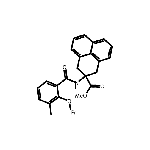 COC(=O)C1(NC(=O)c2cccc(C)c2OC(C)C)Cc2cccc3cccc(c23)C1